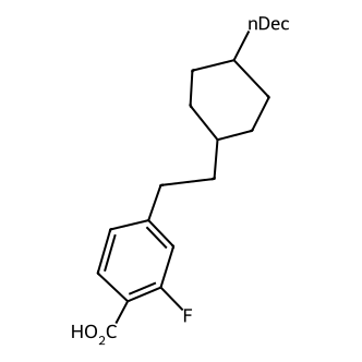 CCCCCCCCCCC1CCC(CCc2ccc(C(=O)O)c(F)c2)CC1